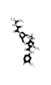 C[C@@H](NC(=O)C(=O)N1CC2COc3c(cn(C)c3C(=O)Nc3ccc(F)c(C(F)(F)F)c3)S(=O)(=O)NC2C1)C(F)(F)F